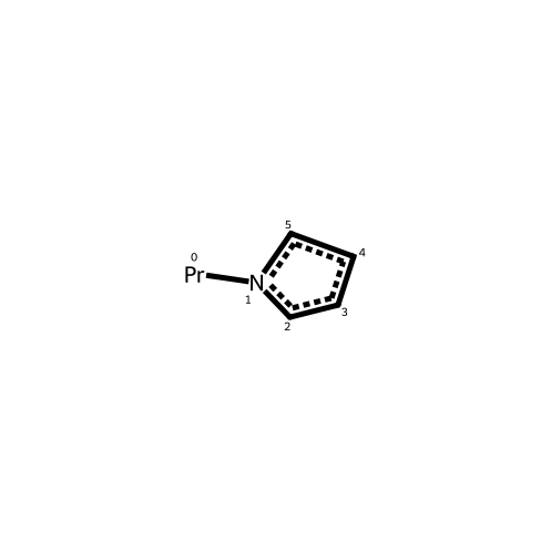 [Pr][n]1cccc1